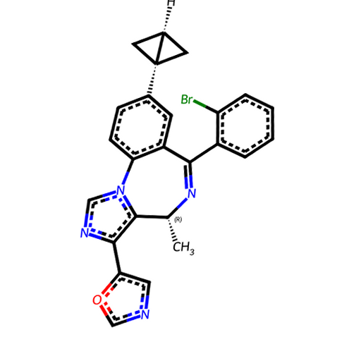 C[C@H]1N=C(c2ccccc2Br)c2cc([C@]34C[C@H]3C4)ccc2-n2cnc(-c3cnco3)c21